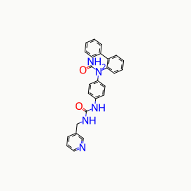 NC(=O)N(c1ccc(NC(=O)NCc2cccnc2)cc1)c1ccccc1-c1ccccc1